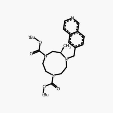 C[C@@H]1CN(C(=O)OC(C)(C)C)CCN(C(=O)OC(C)(C)C)CCN1Cc1ccc2cnccc2c1